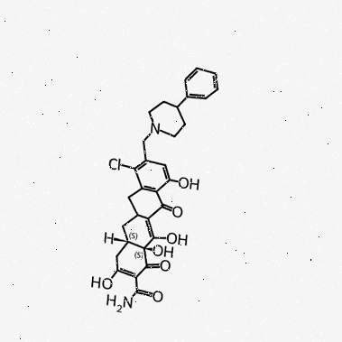 NC(=O)C1=C(O)C[C@@H]2CC3Cc4c(Cl)c(CN5CCC(c6ccccc6)CC5)cc(O)c4C(=O)C3=C(O)[C@]2(O)C1=O